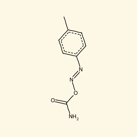 Cc1ccc(N=NOC(N)=O)cc1